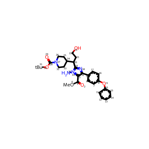 COC(=O)c1c(-c2ccc(Oc3ccccc3)cc2)nc(C(CCO)C2CCN(C(=O)OC(C)(C)C)CC2)n1N